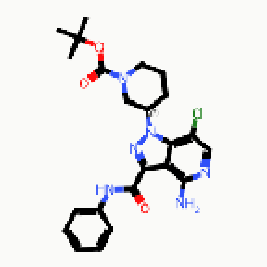 CC(C)(C)OC(=O)N1CCC[C@@H](n2nc(C(=O)Nc3ccccc3)c3c(N)ncc(Cl)c32)C1